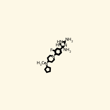 CN(C1CCCC1)C1CCN(c2ccc(C3(N)N=C(N)NN3)cc2F)CC1